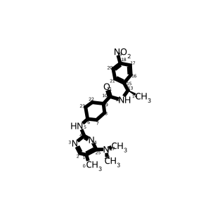 Cc1cnc(NC2CCC(C(=O)N[C@H](C)c3ccc([N+](=O)[O-])cc3)CC2)nc1N(C)C